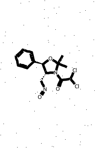 CC1(C)O[C@H](c2ccccc2)[C@@H](CN=O)N1C(=O)C(Cl)Cl